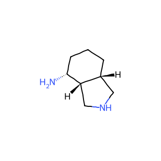 N[C@@H]1CCC[C@@H]2CNC[C@@H]21